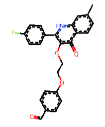 Cc1ccc2c(=O)c(OCCOc3ccc(C=O)cc3)c(-c3ccc(F)cc3)[nH]c2c1